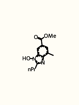 CCCc1nc2c(C)cc(C(=O)OC)cc2n1O